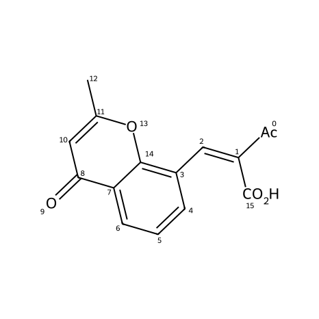 CC(=O)/C(=C/c1cccc2c(=O)cc(C)oc12)C(=O)O